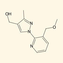 COCc1cccnc1-n1cc(CO)c(C)n1